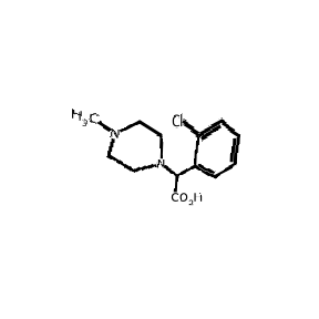 CN1CCN(C(C(=O)O)c2ccccc2Cl)CC1